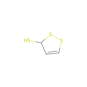 SC1C=CSS1